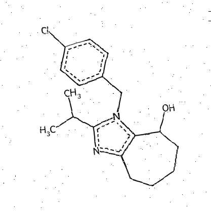 CC(C)c1nc2c(n1Cc1ccc(Cl)cc1)C(O)CCCC2